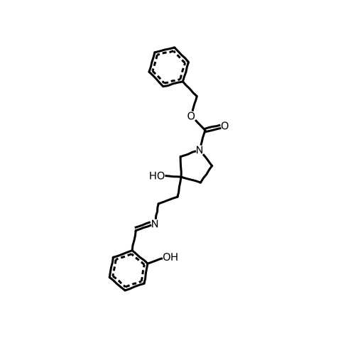 O=C(OCc1ccccc1)N1CCC(O)(CCN=Cc2ccccc2O)C1